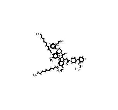 CCCCCCCCCCOc1ccc(C2c3cc(OCCCCCCCCCC)c(OC)cc3C(CC(=O)N3CCN(c4ccccc4OCC)CC3)C2C(=O)N2CCN(c3ccccc3OCC)CC2)cc1OC